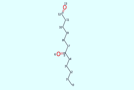 CCCCCC(=O)CCCCCC=O